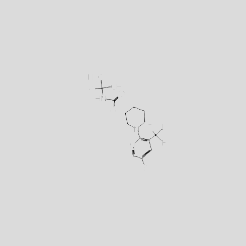 CC(C)(C)NC(=O)O[C@@H]1CCCN(c2ncc(Cl)cc2C(F)(F)F)C1